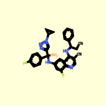 BC(Nc1cc(F)c2ncc(C#N)c(NC(CC#N)c3ccccc3)c2c1)(c1ccc(F)cc1)c1cn(C2CC2)nn1